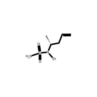 C=CC[C@@H](C)N(CC)S(N)(=O)=O